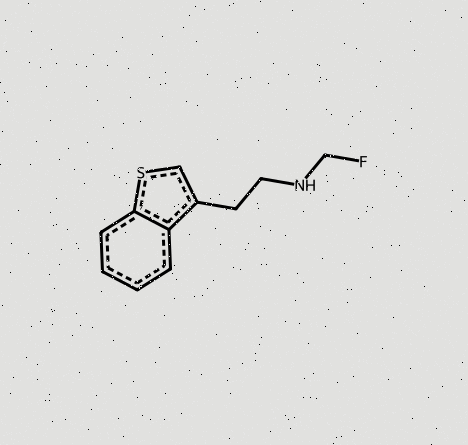 FCNCCc1csc2ccccc12